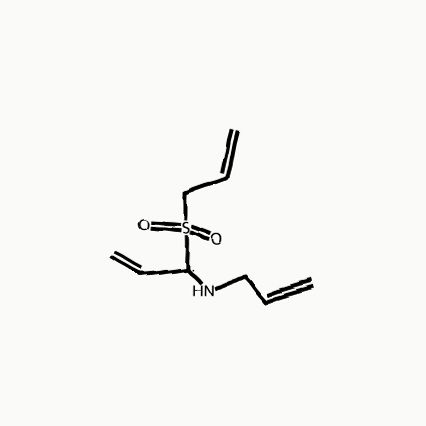 C=CCN[C](C=C)S(=O)(=O)CC=C